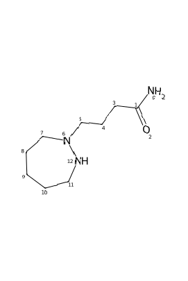 NC(=O)CCCN1CCCCCN1